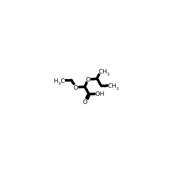 CCOC(OC(C)CC)C(=O)O